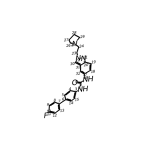 O=C(Nc1ccc(-c2ccc(F)cc2)cc1)Nc1ccc2nn(CCN3CCCC3)cc2c1